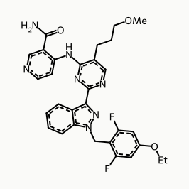 CCOc1cc(F)c(Cn2nc(-c3ncc(CCCOC)c(Nc4ccncc4C(N)=O)n3)c3ccccc32)c(F)c1